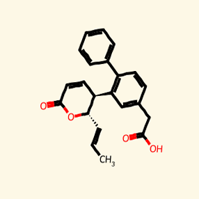 C/C=C/[C@@H]1OC(=O)C=C[C@H]1c1cc(CC(=O)O)ccc1-c1ccccc1